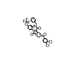 O=C(NCc1ccccc1)c1c2n(c(=O)n1-c1ccc(OC(F)(F)F)cc1)CCN(C(=O)c1ccc(Cl)c(Cl)c1)C2